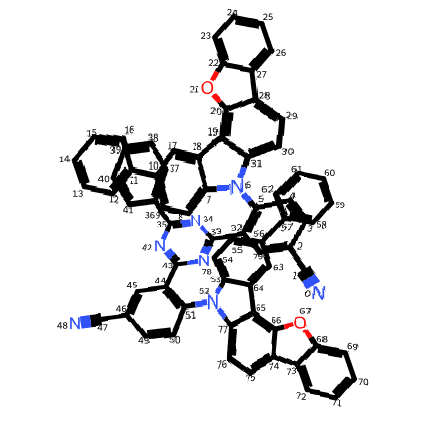 N#Cc1ccc(-n2c3ccc(-c4ccccc4)cc3c3c4oc5ccccc5c4ccc32)c(-c2nc(-c3ccccc3)nc(-c3cc(C#N)ccc3-n3c4ccc(-c5ccccc5)cc4c4c5oc6ccccc6c5ccc43)n2)c1